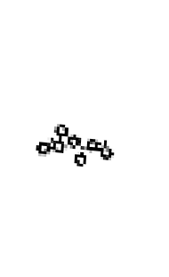 c1ccc(N(c2ccc(-c3ccccc3-c3cccc4c3oc3ccccc34)cc2)c2ccc3oc4ccccc4c3c2)cc1